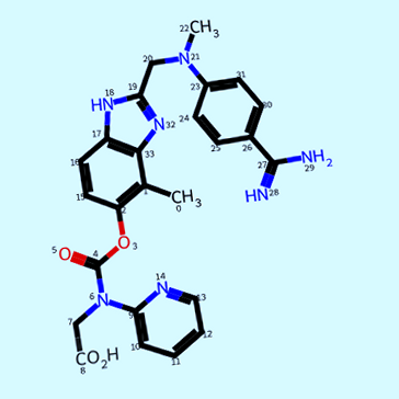 Cc1c(OC(=O)N(CC(=O)O)c2ccccn2)ccc2[nH]c(CN(C)c3ccc(C(=N)N)cc3)nc12